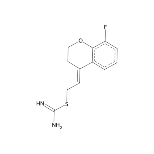 N=C(N)SC/C=C1\CCOc2c(F)cccc21